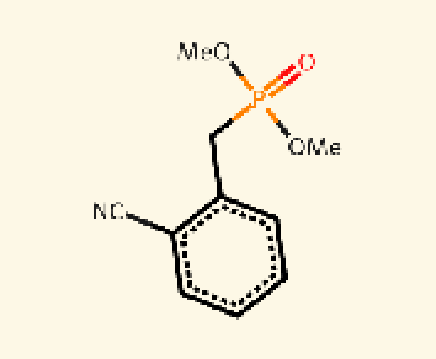 COP(=O)(Cc1ccccc1C#N)OC